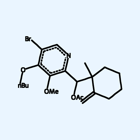 C=C1CCCCC1(C)C(OC(C)=O)c1ncc(Br)c(OCCCC)c1OC